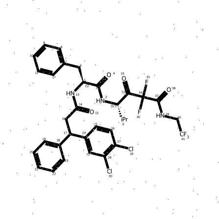 CC(C)[C@H](NC(=O)[C@H](Cc1ccccc1)NC(=O)CC(c1ccccc1)c1ccc(Cl)c(Cl)c1)C(=O)C(F)(F)C(=O)NCC(F)(F)F